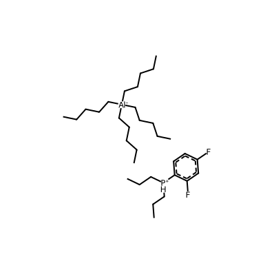 CCCC[CH2][Al-]([CH2]CCCC)([CH2]CCCC)[CH2]CCCC.CCC[PH+](CCC)c1ccc(F)cc1F